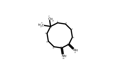 CC1(C)CCCCC(=N)C(=N)CCC1